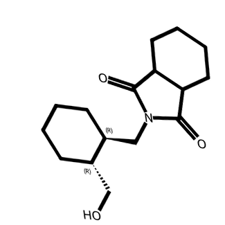 O=C1C2CCCCC2C(=O)N1C[C@@H]1CCCC[C@H]1CO